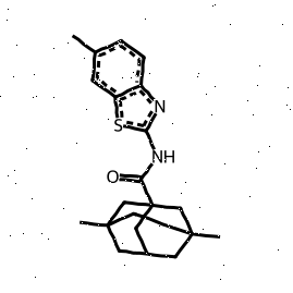 Cc1ccc2nc(NC(=O)C34CC5CC(C)(CC(C)(C5)C3)C4)sc2c1